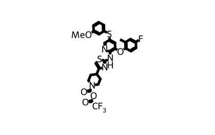 COc1cccc(Sc2cnc(Nc3nc(C4CCN(C(=O)OC(=O)C(F)(F)F)CC4)cs3)c(Oc3ccc(F)cc3C)c2)c1